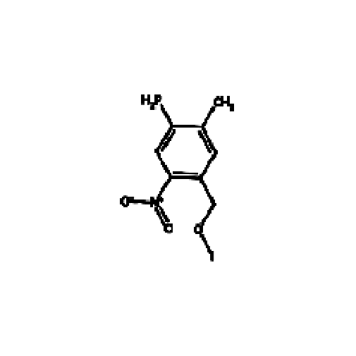 Cc1cc(COI)c([N+](=O)[O-])cc1P